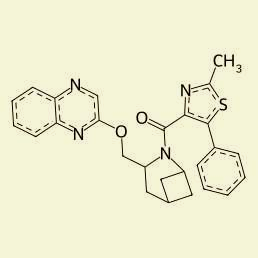 Cc1nc(C(=O)N2C(COc3cnc4ccccc4n3)CC3CC2C3)c(-c2ccccc2)s1